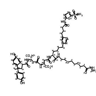 BNC(=O)CCOCCOCCNC(=O)[C@H](CCCCn1cc(CCCC(=O)Nc2nnc(S(N)(=O)=O)s2)nn1)NC(=O)C[C@H](NC(=O)C[C@H](NC(=O)CCC(C)(c1ccc(O)cc1)c1ccc(O)cc1)C(=O)O)C(=O)O